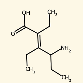 CC/C(C(=O)O)=C(/CC)C(N)CC